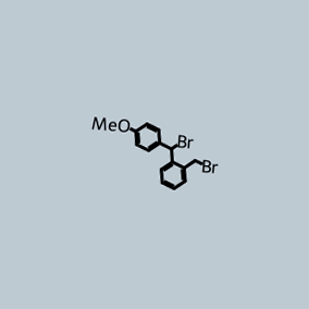 COc1ccc(C(Br)c2ccccc2CBr)cc1